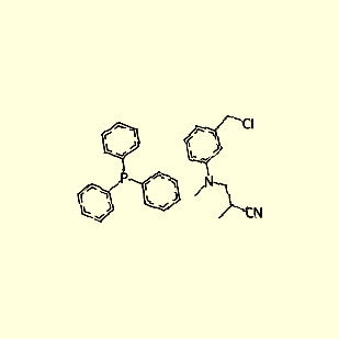 CC(C#N)CN(C)c1cccc(CCl)c1.c1ccc(P(c2ccccc2)c2ccccc2)cc1